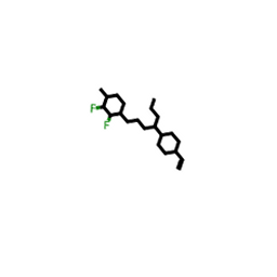 C=CC1CCC(C(CCC)CCCC2CCC(C)C(F)C2F)CC1